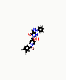 Cc1ccc(C(=O)N2CCC(O)(Cn3cnc4c(cnn4-c4ccccc4)c3=O)CC2)cc1C